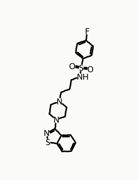 O=S(=O)(NCCCN1CCN(c2nsc3ccccc23)CC1)c1ccc(F)cc1